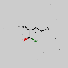 CC(=O)CCC(NC(C)=O)C(=O)Br